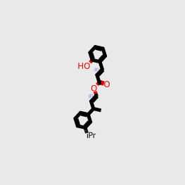 CC(C)c1cccc(C(C)/C=C/OC(=O)/C=C/c2ccccc2O)c1